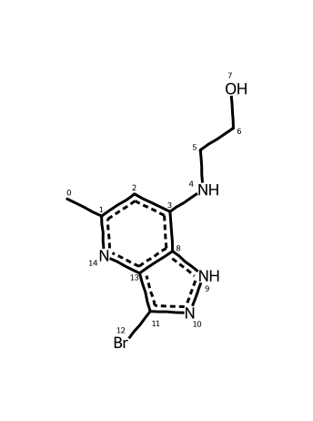 Cc1cc(NCCO)c2[nH]nc(Br)c2n1